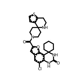 O=C1Nc2c(Cl)cc3cc(C(=O)N4CCC5(CC4)NCCc4sccc45)oc3c2C2(CCCCC2)N1